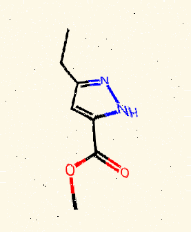 CCc1cc(C(=O)OC)[nH]n1